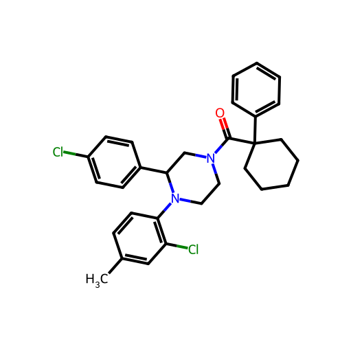 Cc1ccc(N2CCN(C(=O)C3(c4ccccc4)CCCCC3)CC2c2ccc(Cl)cc2)c(Cl)c1